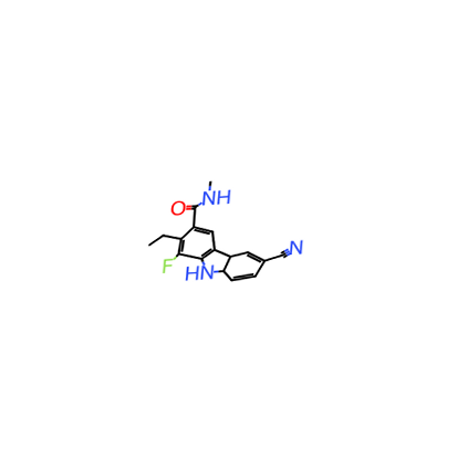 CCc1c(C(=O)NC)cc2c(c1F)NC1C=CC(C#N)=CC21